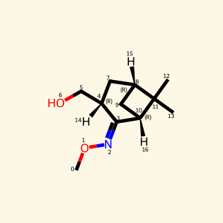 CON=C1[C@H](CO)C[C@H]2C[C@@H]1C2(C)C